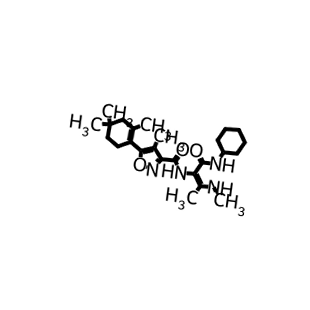 CN/C(C)=C(/NC(=O)c1noc(C2=C(C)CC(C)(C)CC2)c1C)C(=O)NC1CCCCC1